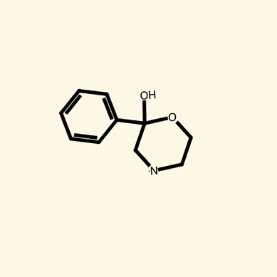 OC1(c2ccccc2)C[N]CCO1